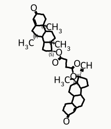 C#C[C@]1(OC(=O)CCC(=O)O[C@H]2CCC3C4C(CC[C@@]32C)[C@@]2(C)CCC(=O)C=C2C[C@H]4C)CCC2C3CCC4=CC(=O)CCC4C3CC[C@@]21CC